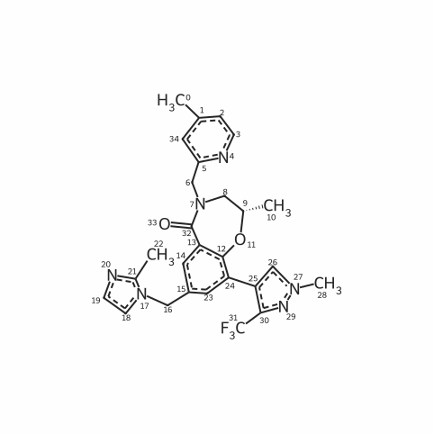 Cc1ccnc(CN2C[C@H](C)Oc3c(cc(Cn4ccnc4C)cc3-c3cn(C)nc3C(F)(F)F)C2=O)c1